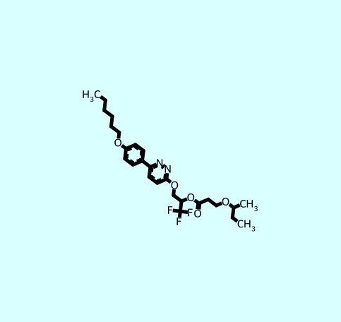 CCCCCCOc1ccc(-c2ccc(OCC(OC(=O)CCOC(C)CC)C(F)(F)F)nn2)cc1